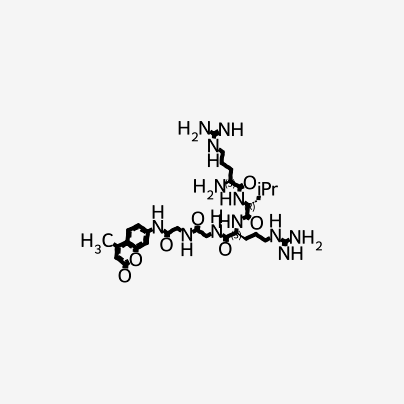 Cc1cc(=O)oc2cc(NC(=O)CNC(=O)CNC(=O)[C@H](CCCNC(=N)N)NC(=O)[C@@H](CC(C)C)NC(=O)[C@@H](N)CCCNC(=N)N)ccc12